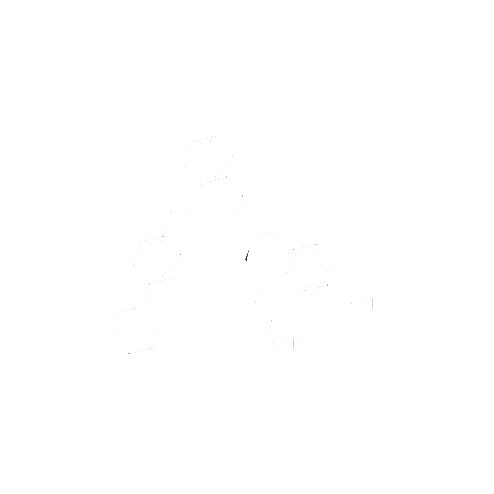 O=C(O)CCCC[C@@H](CCc1ccccc1OCc1ccc(C2CCCCC2)cc1)Cc1ccc(C(=O)O)cc1